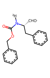 [2H]N(C(=O)OCc1ccccc1)[C@H]([C]=O)Cc1ccccc1